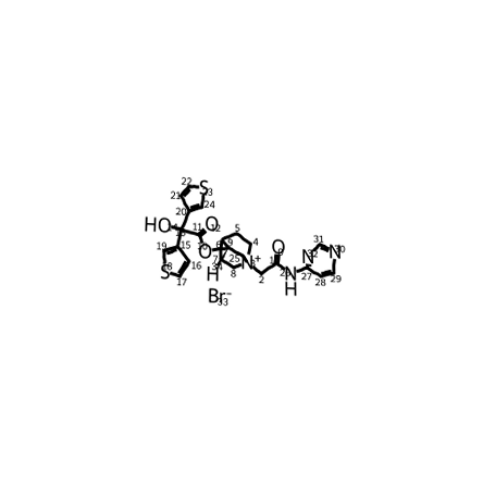 O=C(C[N+]12CCC(CC1)[C@@H](OC(=O)C(O)(c1ccsc1)c1ccsc1)C2)Nc1ccncn1.[Br-]